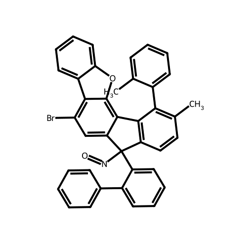 Cc1ccccc1-c1c(C)ccc2c1-c1c(cc(Br)c3c1oc1ccccc13)C2(N=O)c1ccccc1-c1ccccc1